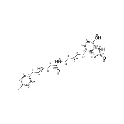 Cc1ccc(CCNCCC(=O)NCCNCCc2ccc(O)c3[nH]c(=O)sc23)cc1